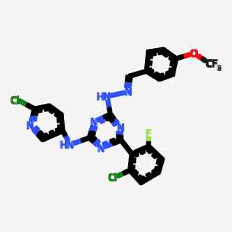 Fc1cccc(Cl)c1-c1nc(NN=Cc2ccc(OC(F)(F)F)cc2)nc(Nc2ccc(Cl)nc2)n1